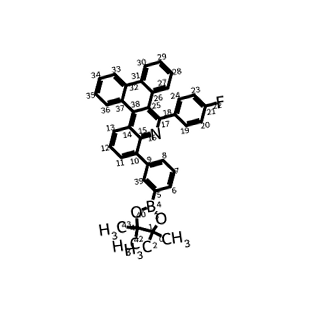 CC1(C)OB(c2cccc(-c3cccc4c3nc(-c3ccc(F)cc3)c3c5ccccc5c5ccccc5c43)c2)OC1(C)C